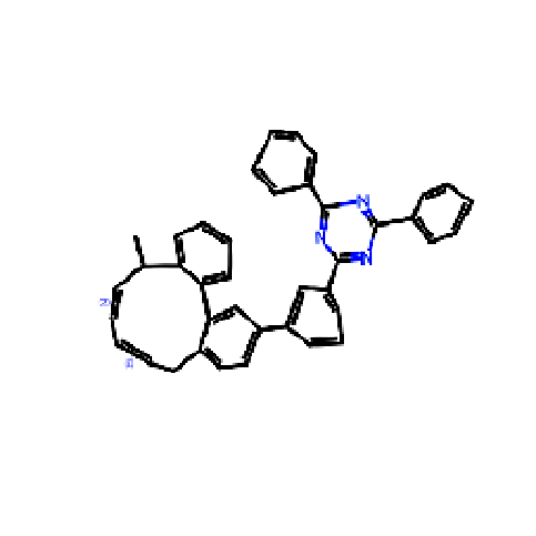 CC1/C=C\C=C/Cc2ccc(-c3cccc(-c4nc(-c5ccccc5)nc(-c5ccccc5)n4)c3)cc2-c2ccccc21